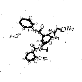 COCc1nc2c(C(=O)Nc3ccccc3)cc(NC(=O)c3ccccc3C(F)(F)F)cc2[nH]1.Cl